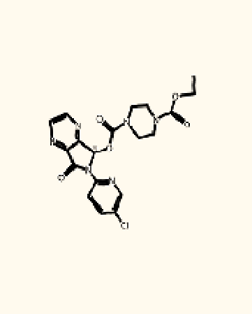 CCOC(=O)N1CCN(C(=O)O[C@@H]2c3nccnc3C(=O)N2c2ccc(Cl)cn2)CC1